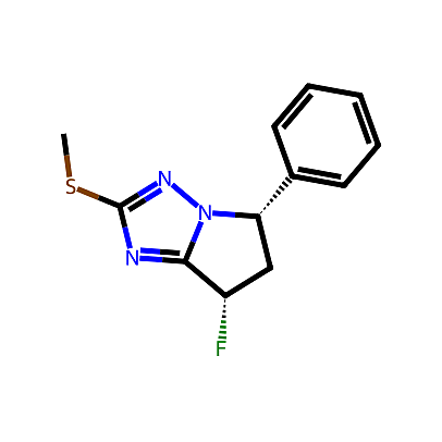 CSc1nc2n(n1)[C@H](c1ccccc1)C[C@@H]2F